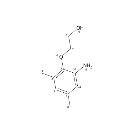 Cc1cc(C)c(OCCO)c(N)c1